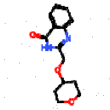 O=c1[nH]c(COC2CCOCC2)nc2ccccc12